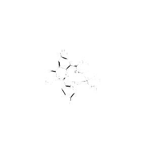 Cc1cc([C@@H](C)N[S+]([O-])C(C)(C)C)c2nc(-c3ccc(F)cn3)n(C)c(=O)c2c1